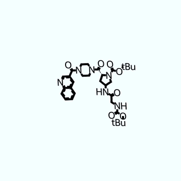 CC(C)(C)OC(=O)NCC(=O)NC1C[C@H](C(=O)N2CCN(C(=O)c3cnc4ccccc4c3)CC2)N(C(=O)OC(C)(C)C)C1